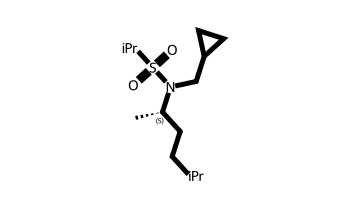 CC(C)CC[C@H](C)N(CC1CC1)S(=O)(=O)C(C)C